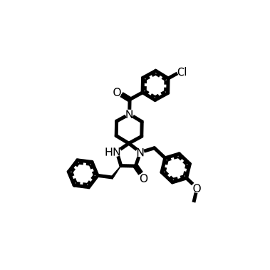 COc1ccc(CN2C(=O)[C@@H](Cc3ccccc3)NC23CCN(C(=O)c2ccc(Cl)cc2)CC3)cc1